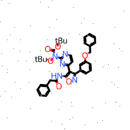 CC(C)(C)OC(=O)N(OC(C)(C)C)c1nccc(-c2c(-c3cccc(OCc4ccccc4)c3)noc2NC(=O)Cc2ccccc2)n1